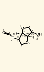 O=CO[C@@H]1CO[C@H]2[C@@H]1OC[C@H]2O